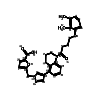 Cc1cccc(OCCCC(=O)N2CCCc3c(-c4cnn(Cc5ccc(C(=O)O)o5)c4)cccc32)c1C